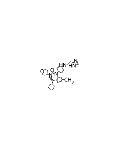 Cc1ccc2c(c1)N(c1ccc(NCCc3ncc[nH]3)cc1)C(=O)N(C1CCOCC1)N=C2C1CCCCC1